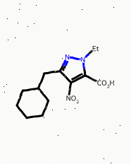 CCn1nc(CC2CCCCC2)c([N+](=O)[O-])c1C(=O)O